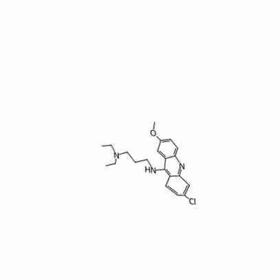 CCN(CC)CCCNc1c2ccc(Cl)cc2nc2ccc(OC)cc12